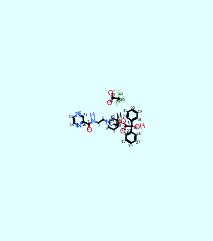 O=C(NCC[N+]12CCC(CC1)[C@@H](OC(=O)C(O)(c1ccccc1)c1ccccc1)C2)c1cnccn1.O=C([O-])C(F)(F)F